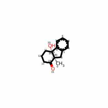 C[C@@]12Cc3ccccc3[C@]1(O)CCCC2=O